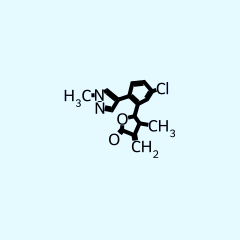 C=C1C(=O)OC(c2cc(Cl)ccc2-c2cnn(C)c2)C1C